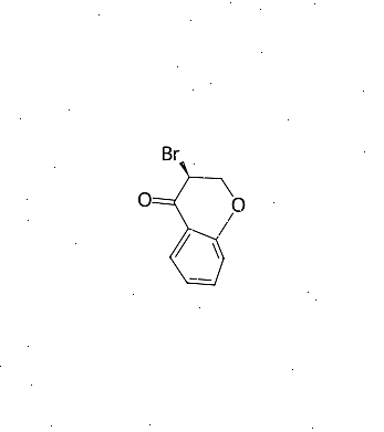 O=C1c2ccccc2OC[C@@H]1Br